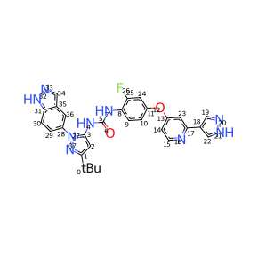 CC(C)(C)c1cc(NC(=O)Nc2ccc(Oc3ccnc(-c4cn[nH]c4)c3)cc2F)n(-c2ccc3[nH]ncc3c2)n1